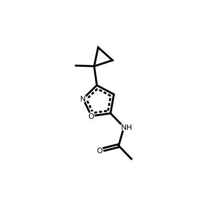 CC(=O)Nc1cc(C2(C)CC2)no1